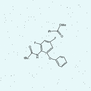 CC(C)(C)C(=O)Nc1c(F)cc(F)cc1Oc1ccccc1.COC(=O)C(C)C